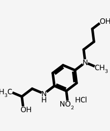 CC(O)CNc1ccc(N(C)CCCO)cc1[N+](=O)[O-].Cl